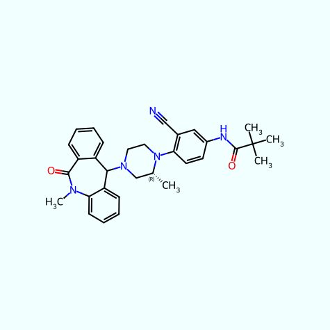 C[C@@H]1CN(C2c3ccccc3C(=O)N(C)c3ccccc32)CCN1c1ccc(NC(=O)C(C)(C)C)cc1C#N